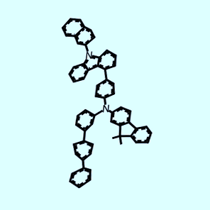 CC1(C)c2ccccc2-c2ccc(N(c3ccc(-c4cccc5c4c4ccccc4n5-c4ccc5ccccc5c4)cc3)c3cccc(-c4ccc(-c5ccccc5)cc4)c3)cc21